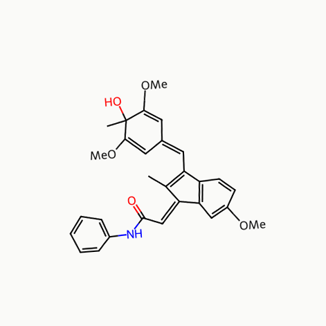 COC1=CC(=CC2=C(C)C(=CC(=O)Nc3ccccc3)c3cc(OC)ccc32)C=C(OC)C1(C)O